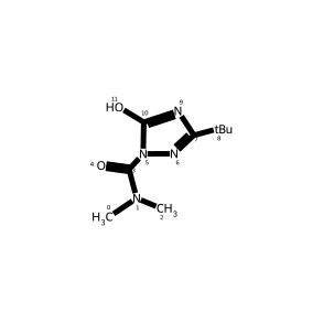 CN(C)C(=O)n1nc(C(C)(C)C)nc1O